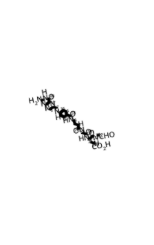 Nc1nc2ncc(CNc3ccc(C(=O)NCCCC(=O)NCC(=O)N[C@@H](CCC(=O)O)C(=O)NCC=O)cc3)nc2c(=O)[nH]1